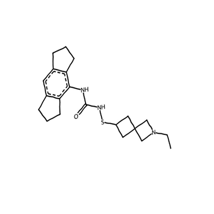 CCN1CC2(CC(SNC(=O)Nc3c4c(cc5c3CCC5)CCC4)C2)C1